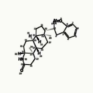 CCC(Cc1ccccc1OC)[C@H]1CC[C@H]2[C@@H]3CC[C@H]4NC(=O)CC[C@]4(C)[C@H]3CC[C@]12C